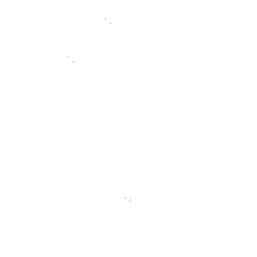 c1cc(CN2CCCCC2)cc(-c2ccnc3[nH]ccc23)c1